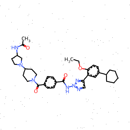 CCOc1ccc(C2CCCCC2)cc1-c1cnn(NC(=O)c2ccc(C(=O)N3CCC(N4CCC(NC(C)=O)C4)CC3)cc2)n1